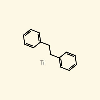 [Ti].c1ccc(CCc2ccccc2)cc1